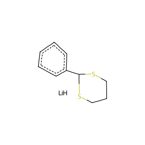 [LiH].c1ccc(C2SCCCS2)cc1